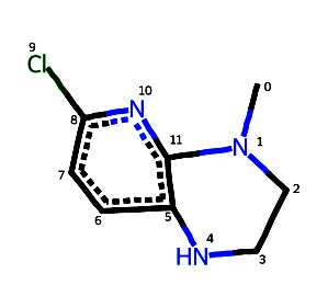 CN1CCNc2ccc(Cl)nc21